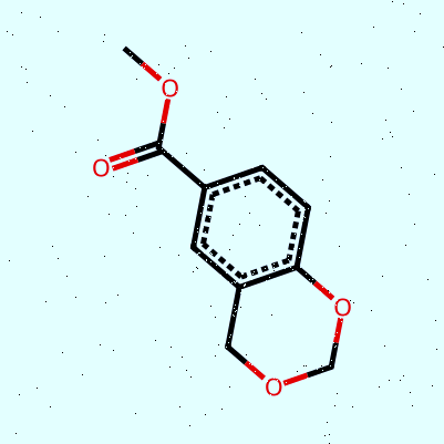 COC(=O)c1ccc2c(c1)COCO2